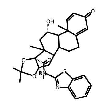 CC1(C)O[C@@H]2CC3C4CCC5=CC(=O)C=CC5(C)C4[C@@H](O)CC3(C)[C@]2(C(=O)Nc2nc3ccccc3s2)O1